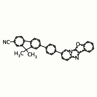 CC1(C)c2cc(C#N)ccc2-c2ccc(-c3ccc(-c4ccc5nc6c7ccccc7oc6n5c4)cc3)cc21